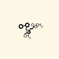 CCc1ccc(C=CC(=O)OC)n1Cc1ccccc1-c1ccccc1